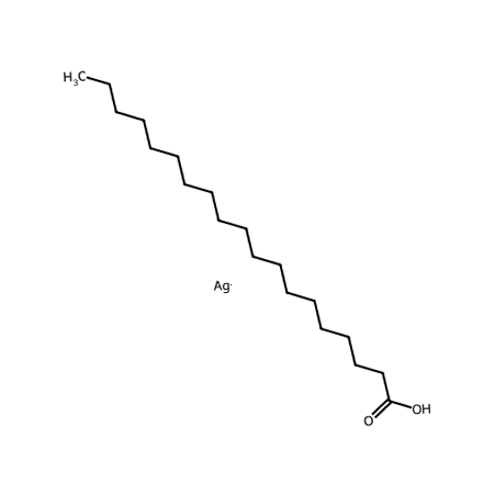 CCCCCCCCCCCCCCCCCCC(=O)O.[Ag]